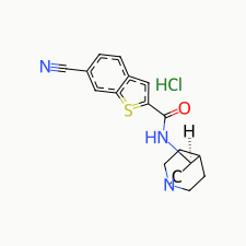 Cl.N#Cc1ccc2cc(C(=O)N[C@@H]3CN4CCC3CC4)sc2c1